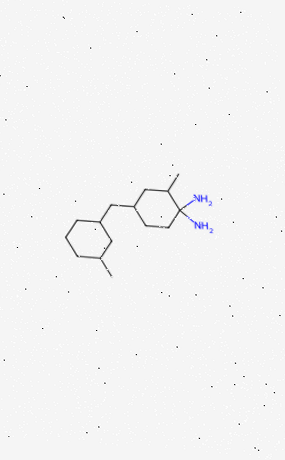 CC1CCCC(CC2CCC(N)(N)C(C)C2)C1